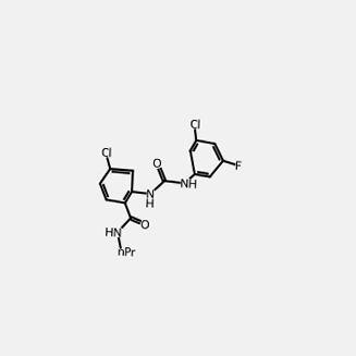 CCCNC(=O)c1ccc(Cl)cc1NC(=O)Nc1cc(F)cc(Cl)c1